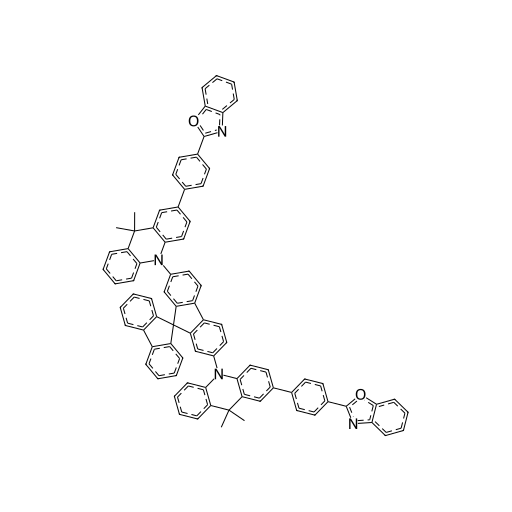 CC1(C)c2ccccc2N(c2ccc3c(c2)C2(c4ccccc4-c4ccccc42)c2cc(N4c5ccccc5C(C)(C)c5cc(-c6ccc(-c7nc8ccccc8o7)cc6)ccc54)ccc2-3)c2ccc(-c3ccc(-c4nc5ccccc5o4)cc3)cc21